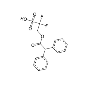 O=C(OCC(F)(F)S(=O)(=O)O)C(c1ccccc1)c1ccccc1